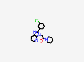 O=C(Cn1c(-c2cccc(Cl)c2)nc2cccnc21)N1CCCCC1